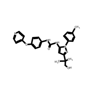 Cc1ccc(-n2nc(C(C)(C)CO)cc2NC(=O)Nc2ccc(Oc3ccncc3)cc2)cc1